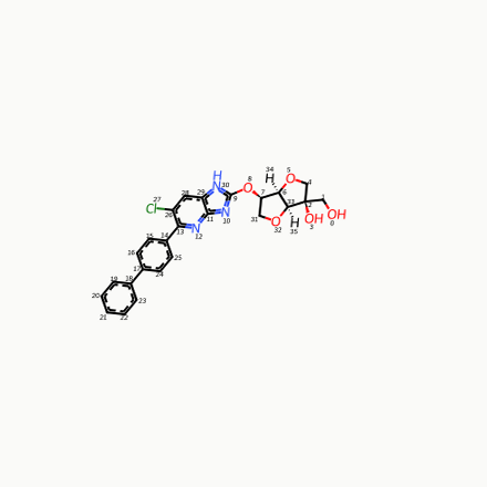 OC[C@@]1(O)CO[C@@H]2[C@H](Oc3nc4nc(-c5ccc(-c6ccccc6)cc5)c(Cl)cc4[nH]3)CO[C@@H]21